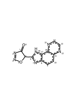 O=C1N=NOC1c1nc2ccc3nccnc3c2[nH]1